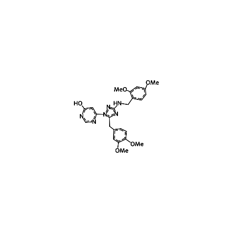 COc1ccc(CNc2nc(Cc3ccc(OC)c(OC)c3)n(-c3cc(O)ncn3)n2)c(OC)c1